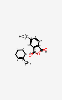 CC1=CCCCC1.O=C(O)c1ccc2c(c1)C(=O)OC2=O